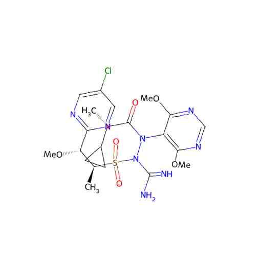 COc1ncnc(OC)c1N(C(=O)[C@@H](C)C1CC1)N(C(=N)N)S(=O)(=O)[C@@H](C)[C@H](OC)c1ncc(Cl)cn1